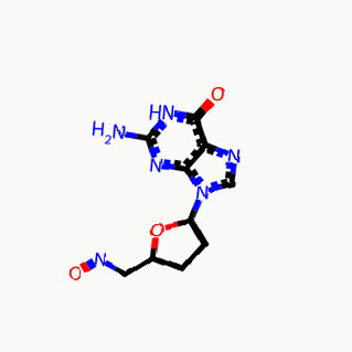 Nc1nc2c(ncn2C2CCC(CN=O)O2)c(=O)[nH]1